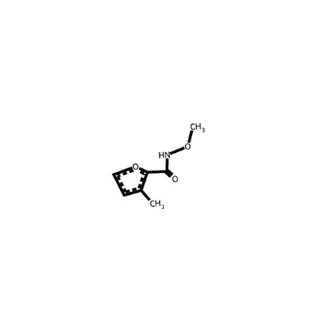 CONC(=O)c1occc1C